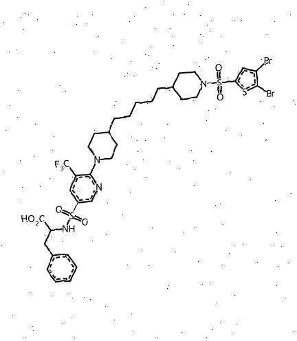 O=C(O)C(Cc1ccccc1)NS(=O)(=O)c1cnc(N2CCC(CCCCCC3CCN(S(=O)(=O)c4cc(Br)c(Br)s4)CC3)CC2)c(C(F)(F)F)c1